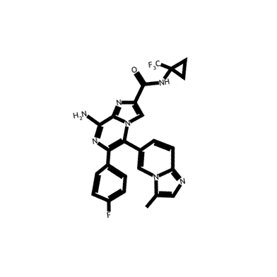 Cc1cnc2ccc(-c3c(-c4ccc(F)cc4)nc(N)c4nc(C(=O)NC5(C(F)(F)F)CC5)cn34)cn12